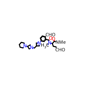 CNC(=O)C(CCC=O)N(C)C(=O)c1cc(N2CC(CN3CC(N4CCCCC4)C3)C2)ccc1C=O